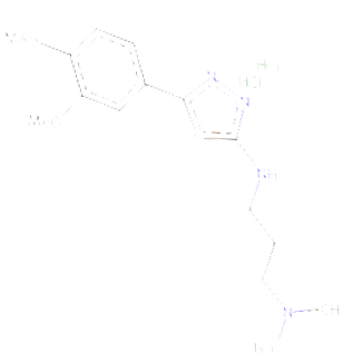 COc1ccc(-c2nnc(NCCCN(C)C)s2)cc1OC.Cl.Cl